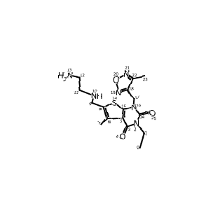 CCn1c(=O)c2c(C)c(CNCCN)sc2n(Cc2nonc2C)c1=O